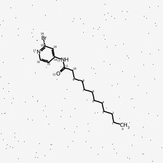 CCCCCCCCCCCC(=O)Nc1ccnc(Br)c1